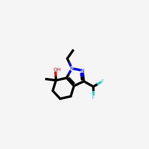 CCn1nc(C(F)F)c2c1C(C)(O)CCC2